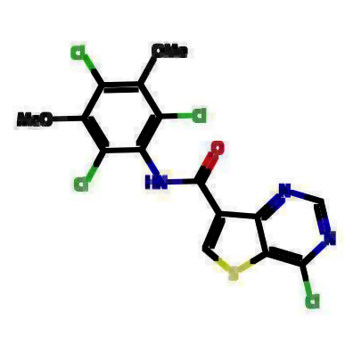 COc1c(Cl)c(NC(=O)c2csc3c(Cl)ncnc23)c(Cl)c(OC)c1Cl